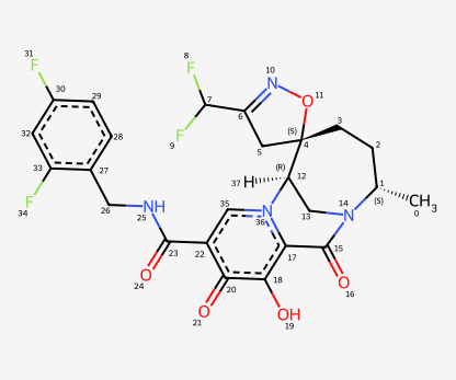 C[C@H]1CC[C@]2(CC(C(F)F)=NO2)[C@H]2CN1C(=O)c1c(O)c(=O)c(C(=O)NCc3ccc(F)cc3F)cn12